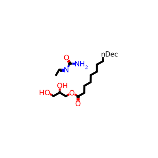 CC=NC(N)=O.CCCCCCCCCCCCCCCCCC(=O)OCC(O)CO